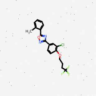 Cc1ccccc1-c1nc(-c2ccc(OCCCC(F)(F)F)c(Cl)c2)no1